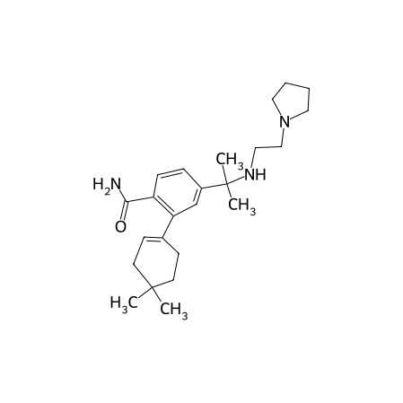 CC1(C)CC=C(c2cc(C(C)(C)NCCN3CCCC3)ccc2C(N)=O)CC1